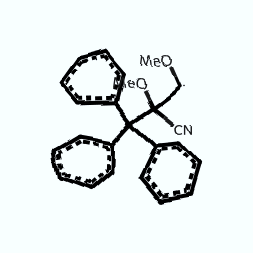 CO[CH]C(C#N)(OC)C(c1ccccc1)(c1ccccc1)c1ccccc1